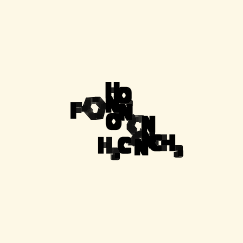 Cc1nn(C)c2ncc(N(C=O)C(=O)Nc3ccc(F)cc3)cc12